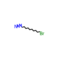 [N-]=[N+]=NCCCCCCCCCCBr